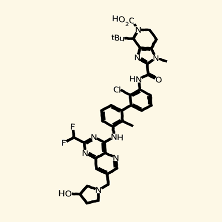 Cc1c(Nc2nc(C(F)F)nc3cc(CN4CCC(O)C4)cnc23)cccc1-c1cccc(NC(=O)c2nc3c(n2C)CCN(C(=O)O)C3C(C)(C)C)c1Cl